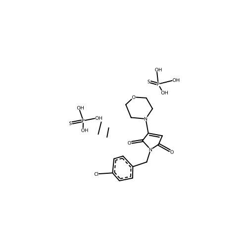 CC.CC.O=C1C=C(N2CCOCC2)C(=O)N1Cc1ccc(Cl)cc1.OP(O)(O)=S.OP(O)(O)=S